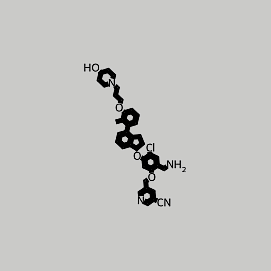 Cc1c(OCCCN2CCC(O)CC2)cccc1-c1cccc2c1CC[C@@H]2Oc1cc(OCc2cncc(C#N)c2)c(CN)cc1Cl